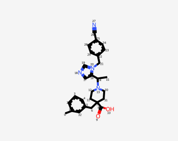 Cc1cccc(CC2(C(=O)O)CCN(C(C)c3cncn3Cc3ccc(C#N)cc3)CC2)c1